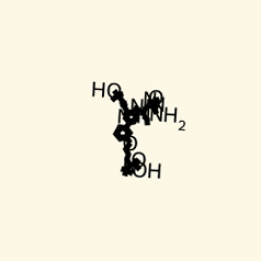 CCn1c(-c2nonc2N)nc2c(C#CC(C)(C)O)nc(-c3cccc(OCCCN(C(=O)O)C(C)(C)C)c3)cc21